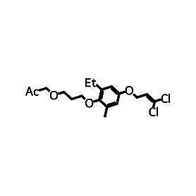 CCc1cc(OCC=C(Cl)Cl)cc(C)c1OCCCOCC(C)=O